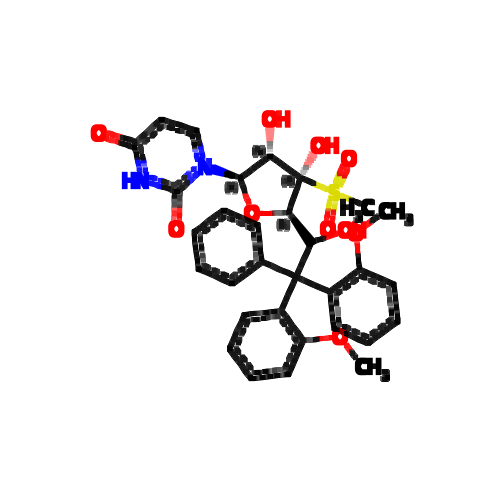 COc1ccccc1C(c1ccccc1)(c1ccccc1OC)C(O)[C@H]1O[C@@H](n2ccc(=O)[nH]c2=O)[C@H](O)[C@@]1(O)S(C)(=O)=O